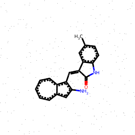 Cc1ccc2c(c1)/C(=C/c1c(N)cc3cccccc1-3)C(=O)N2